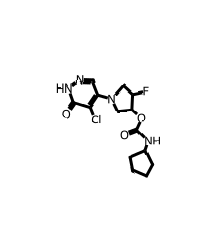 O=C(NC1CCCC1)OC1CN(c2cn[nH]c(=O)c2Cl)CC1F